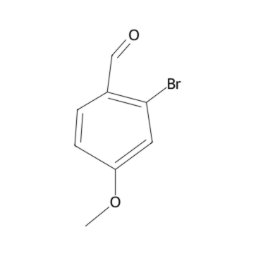 COc1ccc(C=O)c(Br)c1